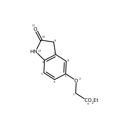 CCOC(=O)COc1ccc2c(c1)CC(=O)N2